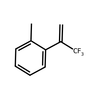 C=C(c1ccccc1C)C(F)(F)F